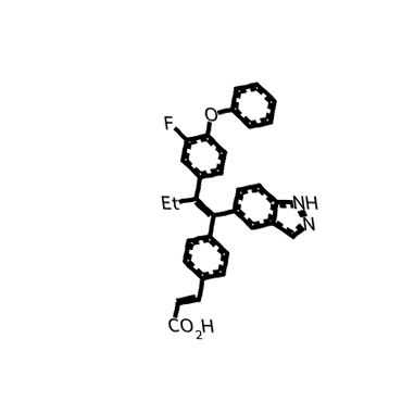 CCC(=C(c1ccc(C=CC(=O)O)cc1)c1ccc2[nH]ncc2c1)c1ccc(Oc2ccccc2)c(F)c1